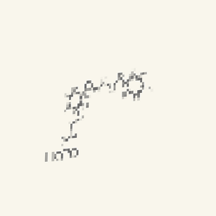 O=C(O)CCCCc1cccc(OCCCCc2ccccc2)c1